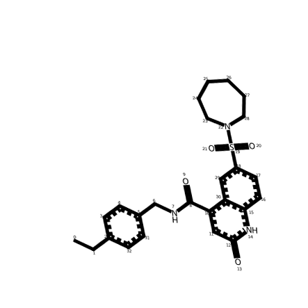 CCc1ccc(CNC(=O)c2cc(=O)[nH]c3ccc(S(=O)(=O)N4CCCCCC4)cc23)cc1